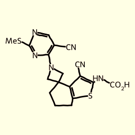 CSc1ncc(C#N)c(N2CC3(CCCc4sc(NC(=O)O)c(C#N)c43)C2)n1